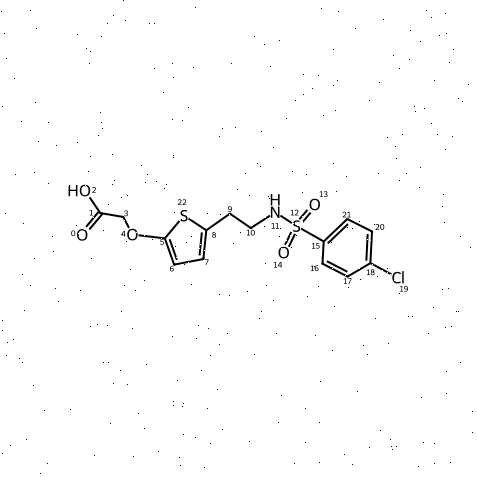 O=C(O)COc1ccc(CCNS(=O)(=O)c2ccc(Cl)cc2)s1